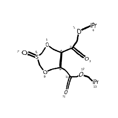 CC(C)OC(=O)C1OS(=O)OC1C(=O)OC(C)C